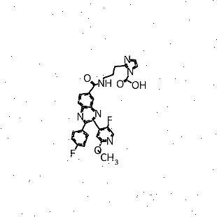 COc1cc(-c2nc3cc(C(=O)NCCCc4nccn4C(=O)O)ccc3nc2-c2ccc(F)cc2)c(F)cn1